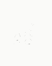 CC1CNCCN1c1nc(-c2cccc(F)c2F)c2ccccc2n1